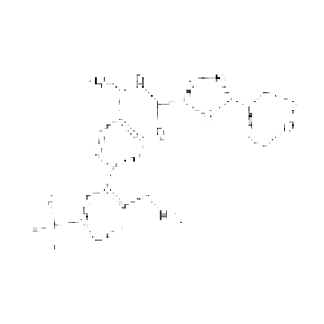 C[C@@H](NC(=O)c1cnc(C2=CCOCC2)s1)c1ccc(-c2cc(C(F)(F)F)ccc2CN)cc1